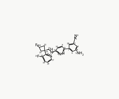 N#Cc1cc(N)cc(-c2ccc(NC[C@]3(c4ncccc4F)C[C@H](F)C3)nn2)c1